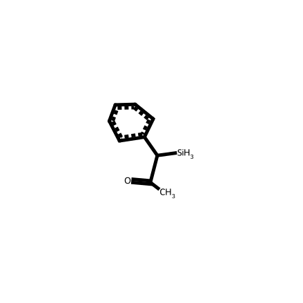 CC(=O)C([SiH3])c1ccccc1